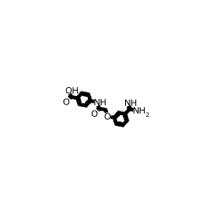 N=C(N)c1cccc(OCC(=O)Nc2ccc(C(=O)O)cc2)c1